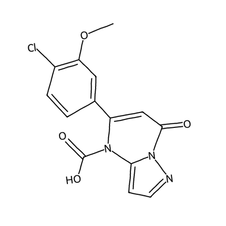 COc1cc(-c2cc(=O)n3nccc3n2C(=O)O)ccc1Cl